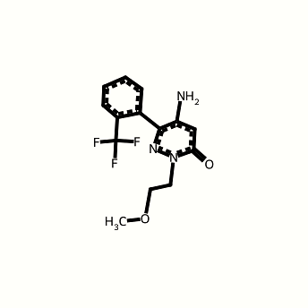 COCCn1nc(-c2ccccc2C(F)(F)F)c(N)cc1=O